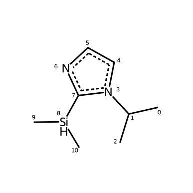 CC(C)n1ccnc1[SiH](C)C